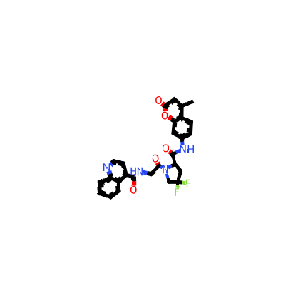 Cc1cc(=O)oc2cc(NC(=O)C3CC(F)(F)CN3C(=O)CNC(=O)c3ccnc4ccccc34)ccc12